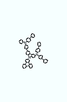 c1ccc(-c2ccc(N(c3ccccc3)c3ccc(-c4ccc5c(c4)c4cc(N(c6ccc(-c7ccccc7)cc6)c6ccc(-c7ccccc7)cc6)ccc4n5-c4ccc5c6ccccc6c6ccccc6c5c4)cc3)cc2)cc1